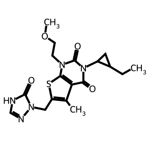 CCC1CC1n1c(=O)c2c(C)c(Cn3nc[nH]c3=O)sc2n(CCOC)c1=O